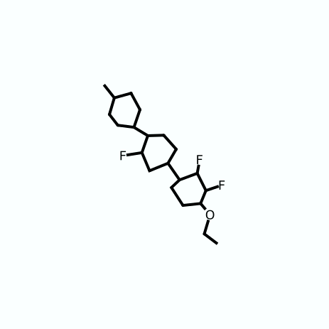 CCOC1CCC(C2CCC(C3CCC(C)CC3)C(F)C2)C(F)C1F